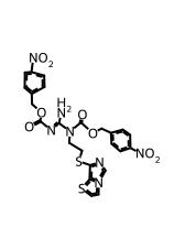 NC(=NC(=O)OCc1ccc([N+](=O)[O-])cc1)N(CCSc1ncn2ccsc12)C(=O)OCc1ccc([N+](=O)[O-])cc1